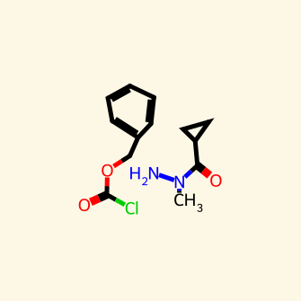 CN(N)C(=O)C1CC1.O=C(Cl)OCc1ccccc1